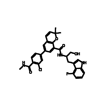 CNC(=O)c1ccc(-c2cc3c(c(C(=O)NC(CO)Cc4c[nH]c5cccc(F)c45)c2)OC(C)(C)C=C3)cc1Cl